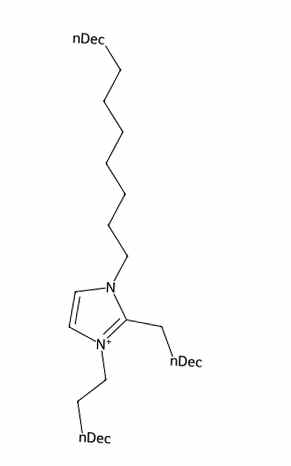 CCCCCCCCCCCCCCCCCn1cc[n+](CCCCCCCCCCCC)c1CCCCCCCCCCC